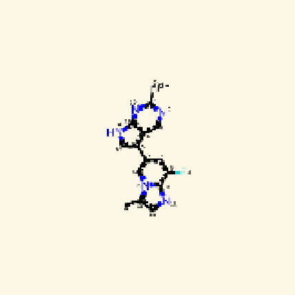 CCCc1ncc2c(-c3cc(F)c4ncc(C)n4c3)c[nH]c2n1